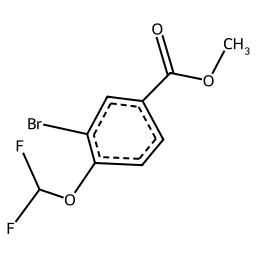 COC(=O)c1ccc(OC(F)F)c(Br)c1